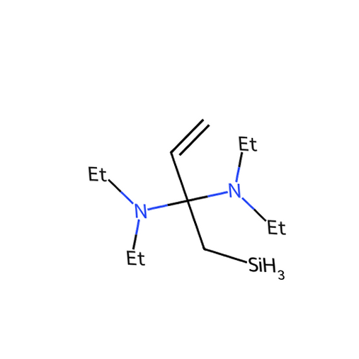 C=CC(C[SiH3])(N(CC)CC)N(CC)CC